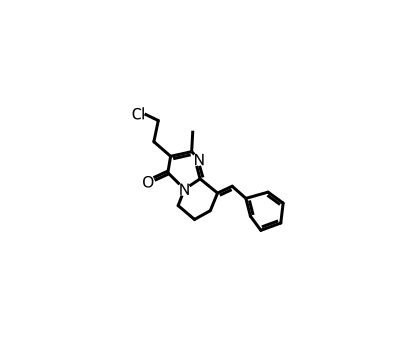 Cc1nc2n(c(=O)c1CCCl)CCC/C2=C\c1ccccc1